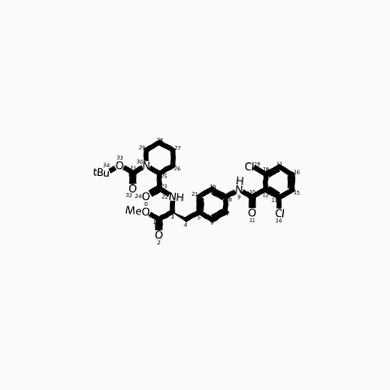 COC(=O)[C@H](Cc1ccc(NC(=O)c2c(Cl)cccc2Cl)cc1)NC(=O)C1CCCCN1C(=O)OC(C)(C)C